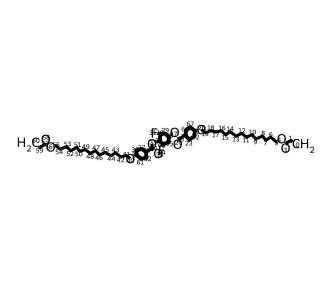 C=CC(=O)OCCCCCCCCCCCCCCCOc1ccc(C(=O)Oc2cc(F)c(OC(=O)c3ccc(OCCCCCCCCCCCCCCCOC(=O)C=C)cc3)c(F)c2)cc1